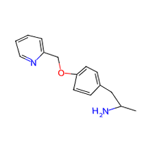 CC(N)Cc1ccc(OCc2ccccn2)cc1